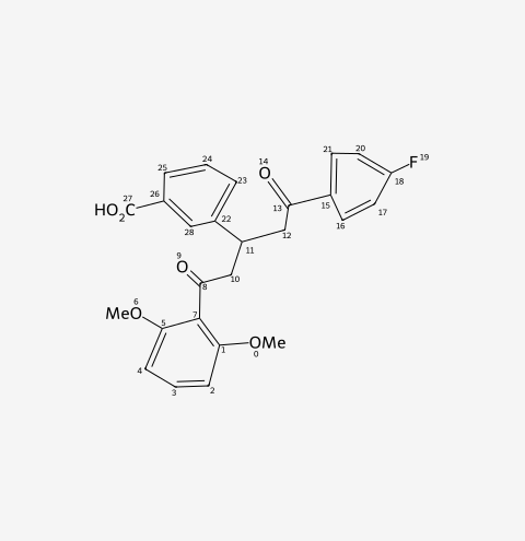 COc1cccc(OC)c1C(=O)CC(CC(=O)c1ccc(F)cc1)c1cccc(C(=O)O)c1